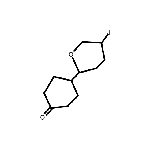 O=C1CCC(C2CCC(I)CO2)CC1